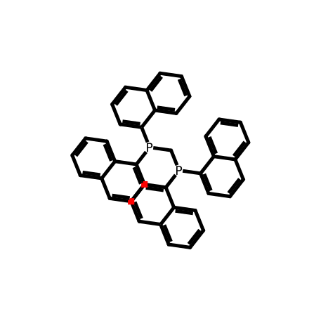 c1ccc2c(P(CP(c3cccc4ccccc34)c3cccc4ccccc34)c3cccc4ccccc34)cccc2c1